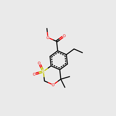 CCc1cc2c(cc1C(=O)OC)S(=O)(=O)COC2(C)C